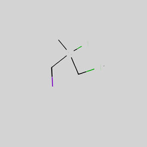 C[Si](Cl)(CCl)CI